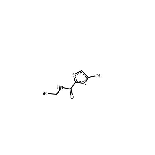 CC(C)CNC(=O)c1nc(O)cs1